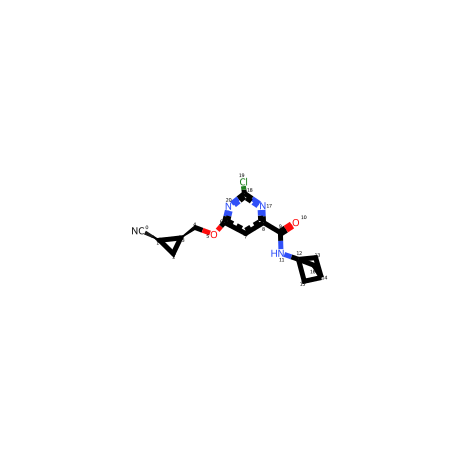 N#C[C@@H]1C[C@@H]1COc1cc(C(=O)NC23CC(C2)C3)nc(Cl)n1